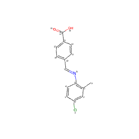 Cc1cc(Cl)ccc1N=Cc1ccc(C(=O)O)cc1